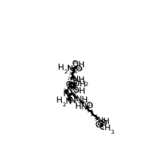 CS(=O)(=O)NCCCCCC(=O)NCCNc1cc2c(ncn2[C@@H]2O[C@H](C[C@@H](N)CC[C@H](N)C(=O)O)[C@@H](O)[C@H]2O)c(N)n1